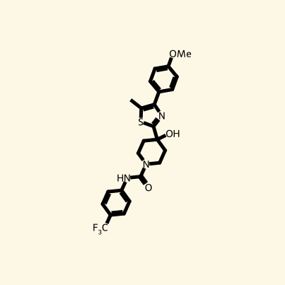 COc1ccc(-c2nc(C3(O)CCN(C(=O)Nc4ccc(C(F)(F)F)cc4)CC3)sc2C)cc1